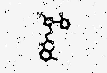 O=C(COc1cc(C(F)(F)F)nn1-c1ccccc1Cl)Nc1cccc(F)c1F